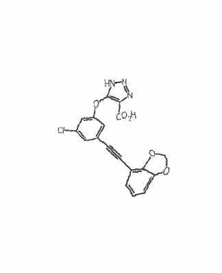 O=C(O)c1nn[nH]c1Oc1cc(Cl)cc(C#Cc2cccc3c2OCO3)c1